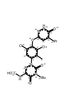 Cc1c(-n2nc(NC(=O)O)c(=O)n(C(C)(C)C)c2=O)cc(Cl)c(Oc2cc(C(C)C)c(=O)[nH]n2)c1Cl